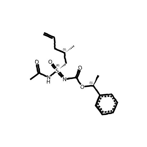 C=CC[C@H](C)C[S@](=O)(=NC(=O)O[C@@H](C)c1ccccc1)NC(C)=O